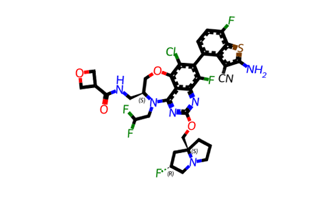 N#Cc1c(N)sc2c(F)ccc(-c3c(Cl)c4c5c(nc(OC[C@@]67CCCN6C[C@H](F)C7)nc5c3F)N(CC(F)F)[C@@H](CNC(=O)C3COC3)CO4)c12